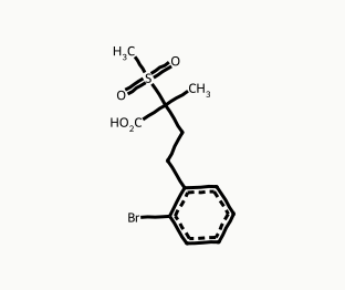 CC(CCc1ccccc1Br)(C(=O)O)S(C)(=O)=O